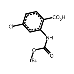 CC(C)(C)OC(=O)Nc1cc(Cl)ccc1C(=O)O